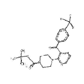 CC(C)(C)OC(=O)N1CCN(c2nccnc2C(=O)c2ccc(C(F)(F)F)cc2)CC1